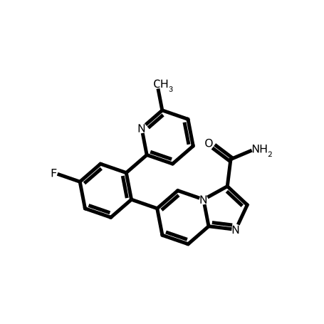 Cc1cccc(-c2cc(F)ccc2-c2ccc3ncc(C(N)=O)n3c2)n1